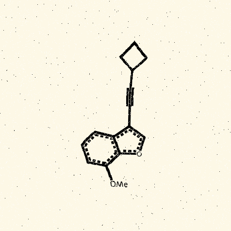 COc1cccc2c(C#CC3CCC3)coc12